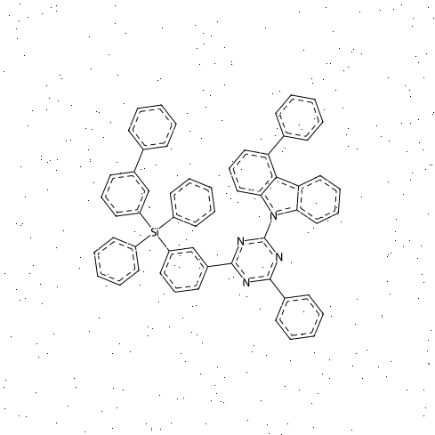 c1ccc(-c2cccc([Si](c3ccccc3)(c3ccccc3)c3cccc(-c4nc(-c5ccccc5)nc(-n5c6ccccc6c6c(-c7ccccc7)cccc65)n4)c3)c2)cc1